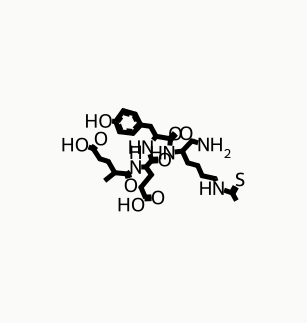 CC(=S)NCCCCC(NC(=O)C(Cc1ccc(O)cc1)NC(=O)C(CCC(=O)O)NC(=O)C(C)CCC(=O)O)C(N)=O